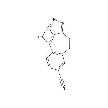 N#Cc1ccc2c(ccc3nnc4[nH]c2c34)c1